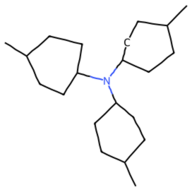 CC1CCC(N(C2CCC(C)CC2)C2CCC(C)CC2)CC1